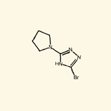 Brc1nnc(N2CCCC2)[nH]1